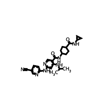 CC(C)Nc1cc(Nc2ccc(C#N)cn2)ncc1C(=O)NC1CCC(C(=O)NC2CC2)CC1